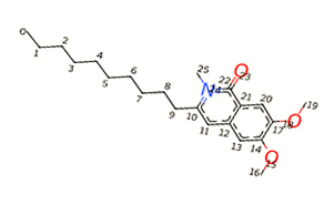 CCCCCCCCCCc1cc2cc(OC)c(OC)cc2c(=O)n1C